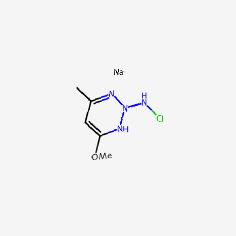 COC1=CC(C)=NN(NCl)N1.[Na]